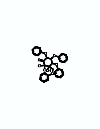 O=C1C(Oc2ccccc2)C(Oc2ccccc2)C(Oc2ccccc2)C(O)(COc2ccccc2)C1(Cl)Cl